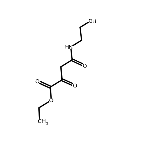 CCOC(=O)C(=O)CC(=O)NCCO